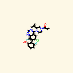 C=CC(=O)N1CCN(c2ncnc3c(F)c(-c4c(O)cccc4F)c(Cl)cc23)C(C(C)C)C1